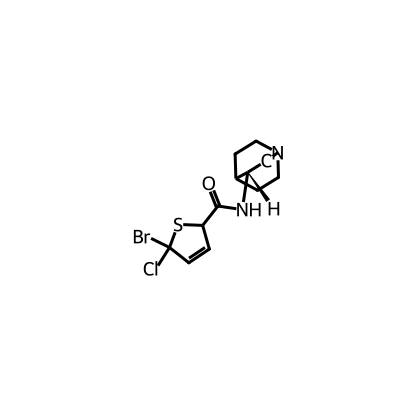 O=C(N[C@H]1CN2CCC1CC2)C1C=CC(Cl)(Br)S1